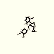 Clc1cc(OCc2c(-c3c(Cl)cccc3Cl)noc2C2CC2)ccc1I